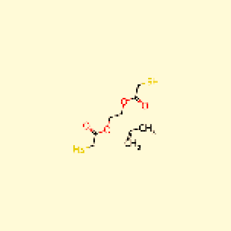 C=CC.O=C(CS)OCCOC(=O)CS